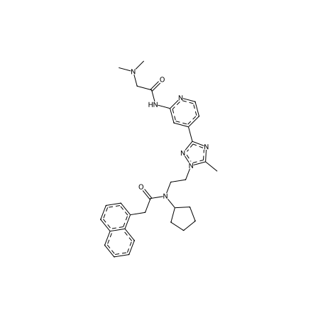 Cc1nc(-c2ccnc(NC(=O)CN(C)C)c2)nn1CCN(C(=O)Cc1cccc2ccccc12)C1CCCC1